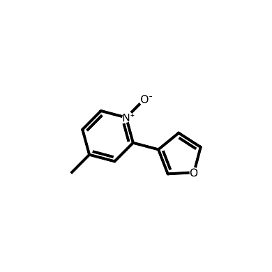 Cc1cc[n+]([O-])c(-c2ccoc2)c1